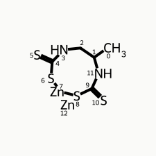 CC1CNC(=S)[S][Zn][S]C(=S)N1.[Zn]